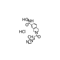 Cc1nccn1CCC(=O)N1CCc2ccc(C(=O)NO)cc2C1.Cl